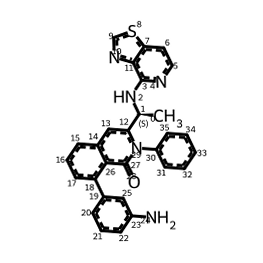 C[C@H](Nc1nccc2scnc12)c1cc2cccc(-c3cccc(N)c3)c2c(=O)n1-c1ccccc1